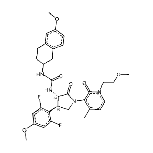 COCCn1ccc(C)c(N2C[C@@H](c3c(F)cc(OC)cc3F)[C@H](NC(=O)NC3CCc4cc(OC)ccc4C3)C2=O)c1=O